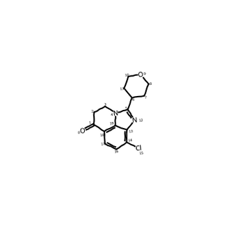 O=C1CCn2c(C3CCOCC3)nc3c(Cl)ccc1c32